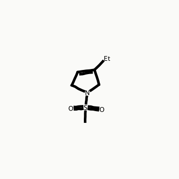 CCC1=CCN(S(C)(=O)=O)C1